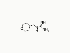 N=C(N)NCC1CCOCC1